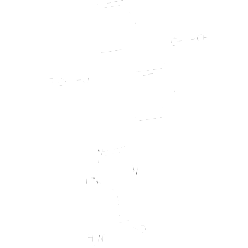 NC(=O)c1nc(-c2ccc(OC(F)(F)F)c(-c3ccccc3OC(F)(F)F)c2)n[nH]1